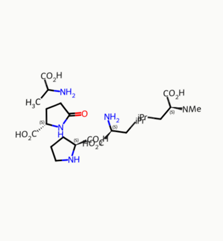 CC(C)C[C@H](N)C(=O)O.CC(N)C(=O)O.CN[C@@H](CC(C)C)C(=O)O.O=C(O)[C@@H]1CCCN1.O=C1CC[C@@H](C(=O)O)N1